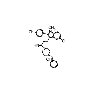 Cn1c(-c2ccc(Cl)cc2)c(CCC(=N)N2CCC(O)(Cc3ccccc3)CC2)c2cc(Cl)ccc21